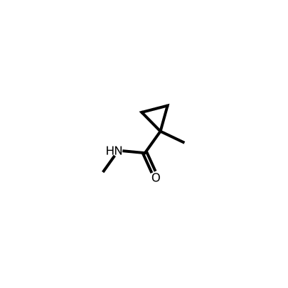 CNC(=O)C1(C)CC1